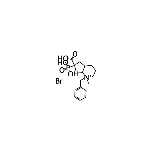 C[N+]1(Cc2ccccc2)CCCC2CC(C(=O)O)(P(=O)(O)O)CC21.[Br-]